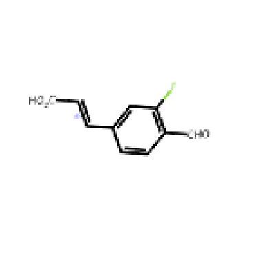 O=Cc1ccc(/C=C/C(=O)O)cc1F